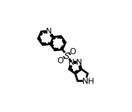 O=S(=O)(c1ccc2ncccc2c1)n1cc2c(n1)CNC2